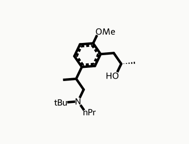 CCCN(CC(C)c1ccc(OC)c(C[C@H](C)O)c1)C(C)(C)C